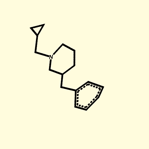 c1ccc(CC2CCCN(CC3CC3)C2)cc1